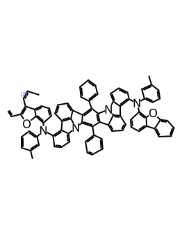 C=Cc1oc2c(N(c3cccc(C)c3)c3cccc4c3c3cccc5c6c(-c7ccccc7)c7c(c(-c8ccccc8)c6n4c35)c3cccc4c5c(N(c6cccc(C)c6)c6cccc8c6oc6ccccc68)cccc5n7c43)cccc2c1/C=C\C